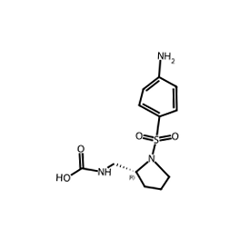 Nc1ccc(S(=O)(=O)N2CCC[C@@H]2CNC(=O)O)cc1